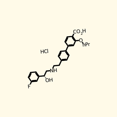 CCCOc1cc(-c2ccc(CCNC[C@H](O)c3cccc(F)c3)cc2)ccc1C(=O)O.Cl